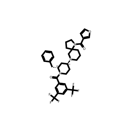 O=C(c1cc(C(F)(F)F)cc(C(F)(F)F)c1)N1CC[C@H](N2CCCC3(CCCN3C(=O)c3ccoc3)C2)C[C@H]1Cc1ccccc1